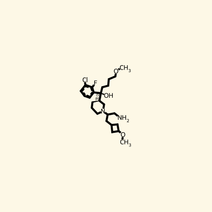 COCCCC[C@@](O)(c1cccc(Cl)c1F)[C@@H]1CCCN(C(CN)CC2CC(OC)C2)C1